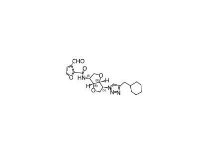 O=Cc1ccoc1C(=O)N[C@H]1CO[C@H]2[C@@H]1OC[C@@H]2n1cc(CC2CCCCC2)nn1